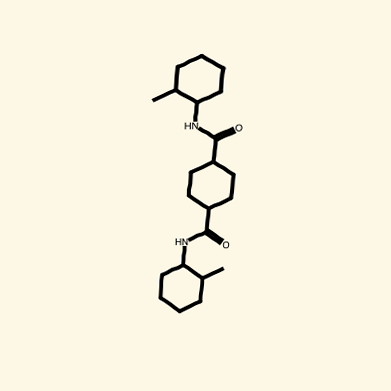 CC1CCCCC1NC(=O)C1CCC(C(=O)NC2CCCCC2C)CC1